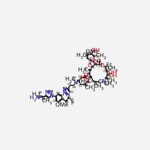 CC[C@H]1OC(=O)[C@H](C)[C@@H](O[C@H]2C[C@@](C)(OC)[C@@H](O)[C@H](C)O2)[C@H](C)[C@@H](O[C@H]2C[C@@H](N(C)CCc3cn([C@H](CF)[C@H](OC)c4ccc(-n5cc(C(C)(C)N)nn5)cc4)nn3)C[C@@H](C)O2)[C@](C)(O)C[C@@H](C)CN(C)[C@H](C)[C@@H](O)[C@]1(C)O